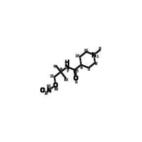 CN1CCC(C(=O)NC(C)(C)CO[N+](=O)[O-])CC1